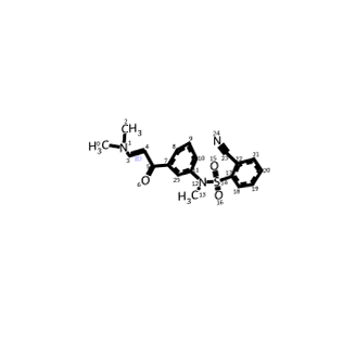 CN(C)/C=C/C(=O)c1cccc(N(C)S(=O)(=O)c2ccccc2C#N)c1